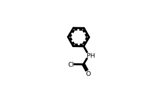 O=C(Cl)Pc1ccccc1